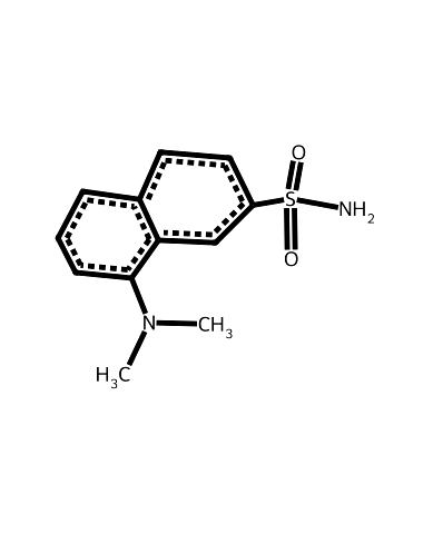 CN(C)c1cccc2ccc(S(N)(=O)=O)cc12